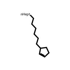 CCCCCCCCCCCCCC1C=CCC1